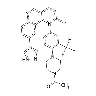 CC(=O)N1CCN(c2ccc(-n3c(=O)ccc4cnc5ccc(-c6cn[nH]c6)cc5c43)cc2C(F)(F)F)CC1